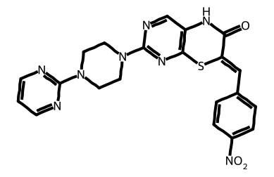 O=C1Nc2cnc(N3CCN(c4ncccn4)CC3)nc2SC1=Cc1ccc([N+](=O)[O-])cc1